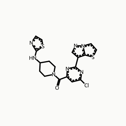 O=C(c1cc(Cl)nc(-c2cnn3ccsc23)n1)N1CCC(Nc2nccs2)CC1